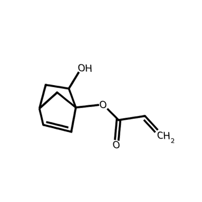 C=CC(=O)OC12C=CC(CC1O)C2